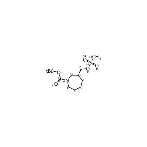 CC(C)(C)OC(=O)N1CCCC[C@H](COS(C)(=O)=O)C1